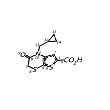 O=C(O)c1cc2c(s1)SCC(=O)N2CC1CC1